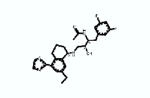 CCc1cc(-c2nccs2)c2c(c1)[C@H](NC[C@H](O)[C@H](Cc1cc(F)cc(F)c1)NC(C)=O)CCC2